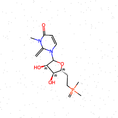 C=C1N(C)C(=O)C=CN1C1O[C@H](CCP(=C)(C)C)[C@@H](O)[C@H]1O